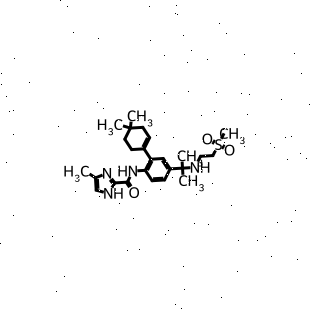 Cc1c[nH]c(C(=O)Nc2ccc(C(C)(C)NCCS(C)(=O)=O)cc2C2=CCC(C)(C)CC2)n1